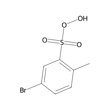 Cc1ccc(Br)cc1S(=O)(=O)OO